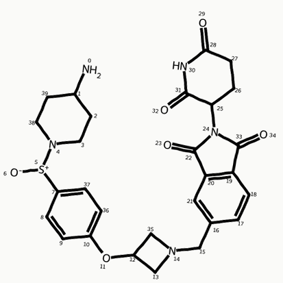 NC1CCN([S+]([O-])c2ccc(OC3CN(Cc4ccc5c(c4)C(=O)N(C4CCC(=O)NC4=O)C5=O)C3)cc2)CC1